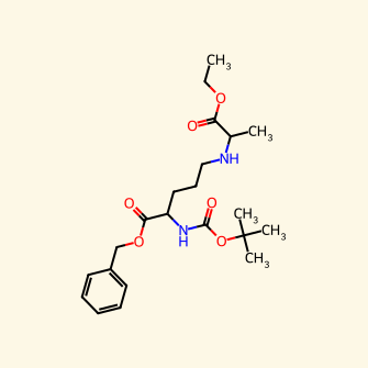 CCOC(=O)C(C)NCCCC(NC(=O)OC(C)(C)C)C(=O)OCc1ccccc1